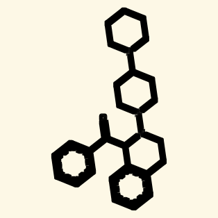 O=C(c1ccccc1)C1c2ccccc2CCN1N1CCC(N2CCCCC2)CC1